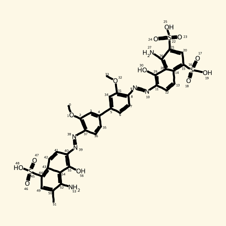 COc1cc(-c2ccc(N=Nc3ccc4c(S(=O)(=O)O)cc(S(=O)(=O)O)c(N)c4c3O)c(OC)c2)ccc1N=Nc1ccc2c(S(=O)(=O)O)cc(C)c(N)c2c1O